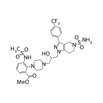 COC(=O)c1cccc(NS(C)(=O)=O)c1N1CCN(CC(O)Cn2nc(-c3ccc(C(F)(F)F)cc3)c3c2CCN(S(N)(=O)=O)C3)CC1